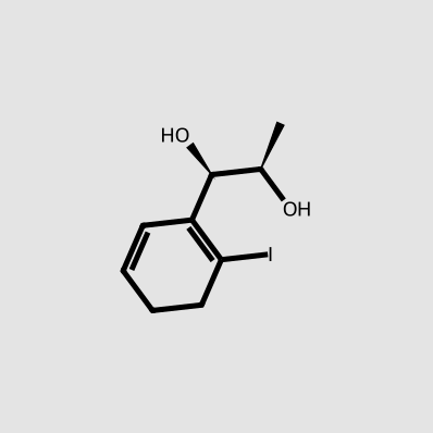 C[C@@H](O)[C@H](O)C1=C(I)CCC=C1